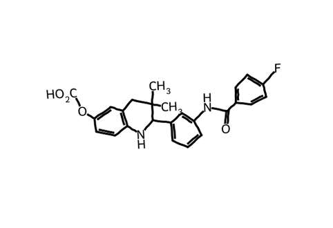 CC1(C)Cc2cc(OC(=O)O)ccc2NC1c1cccc(NC(=O)c2ccc(F)cc2)c1